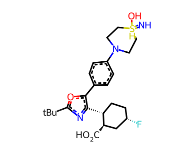 CC(C)(C)c1nc([C@@H]2CC[C@H](F)C[C@H]2C(=O)O)c(-c2ccc(N3CC[SH](=N)(O)CC3)cc2)o1